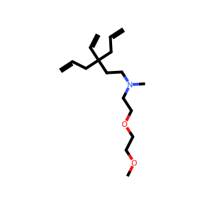 C=CCC(C=C)(CC=C)CCN(C)CCOCCOC